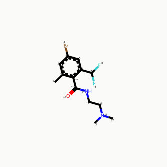 Cc1cc(Br)cc(C(F)F)c1C(=O)NCCN(C)C